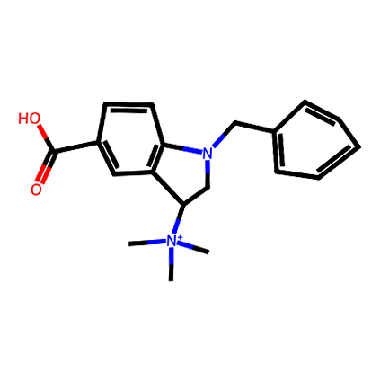 C[N+](C)(C)C1CN(Cc2ccccc2)c2ccc(C(=O)O)cc21